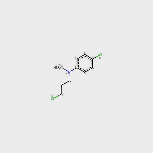 O=C(O)N(CCCCl)c1ccc(Cl)cc1